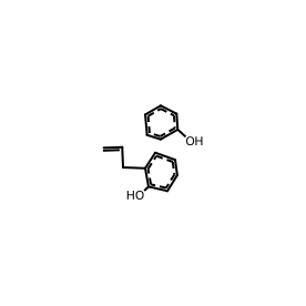 C=CCc1ccccc1O.Oc1ccccc1